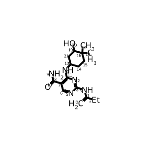 C=C(CC)Nc1ncc(C(N)=O)c(NC2CCC(C)(C)C(O)C2)n1